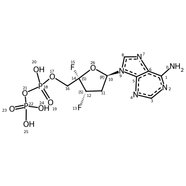 Nc1ncnc2c1ncn2[C@H]1C[C@H](F)[C@@](F)(COP(=O)(O)OP(=O)(O)O)O1